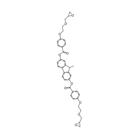 CC1c2cc(OC(=O)c3ccc(OCCOCC4CO4)cc3)ccc2-c2ccc(OC(=O)c3ccc(OCCOCC4CO4)cc3)cc21